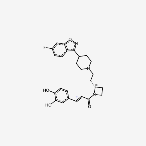 O=C(/C=C/c1ccc(O)c(O)c1)N1CC[C@H]1CCN1CCC(c2noc3cc(F)ccc23)CC1